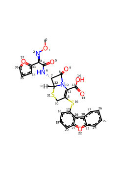 CO/N=C(\C(=O)N[C@@H]1C(=O)N2C(C(=O)O)=C(Sc3cccc4oc5ccccc5c34)CS[C@H]12)c1ccco1